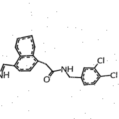 N=Cc1ccc(CC(=O)NCc2ccc(Cl)c(Cl)c2)c2ccccc12